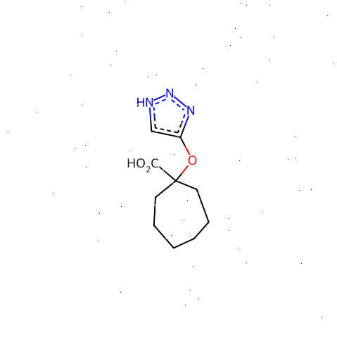 O=C(O)C1(Oc2c[nH]nn2)CCCCCC1